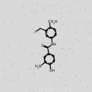 Nc1cc(C(=O)Nc2ccc(C(=O)O)c(CF)c2)ccc1O